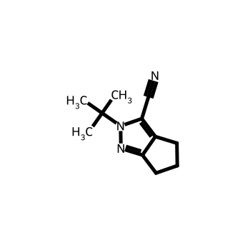 CC(C)(C)n1nc2c(c1C#N)CCC2